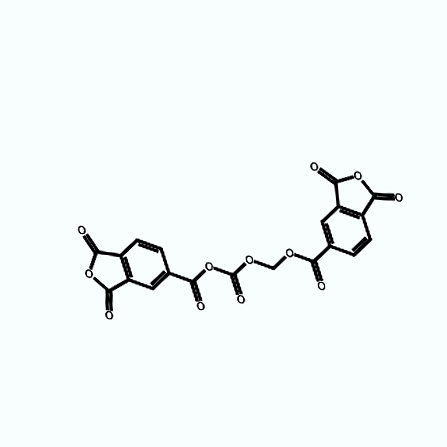 O=C(OCOC(=O)c1ccc2c(c1)C(=O)OC2=O)OC(=O)c1ccc2c(c1)C(=O)OC2=O